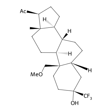 COC[C@]12CC[C@](O)(C(F)(F)F)C[C@H]1CC[C@H]1[C@@H]3CC[C@H](C(C)=O)[C@@]3(C)CC[C@@H]12